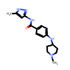 Cc1cc(NC(=O)c2ccc(NC3CCN(C)CC3)cc2)n[nH]1